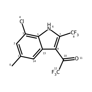 Cc1cc(Cl)c2[nH]c(C(F)(F)F)c(C(=O)C(F)(F)F)c2c1